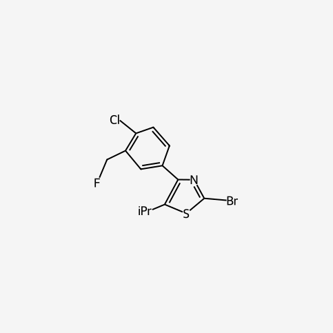 CC(C)c1sc(Br)nc1-c1ccc(Cl)c(CF)c1